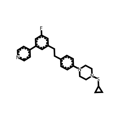 Fc1cc(CCc2ccc(N3CCN(SC4CC4)CC3)cc2)cc(-c2ccncc2)c1